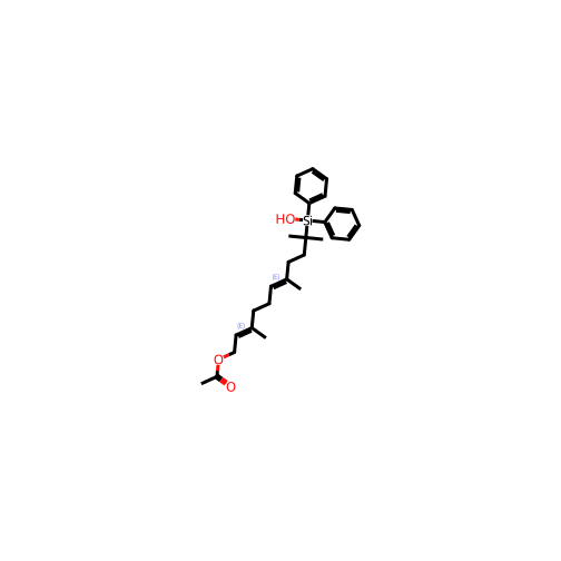 CC(=O)OC/C=C(\C)CC/C=C(\C)CCC(C)(C)[Si](O)(c1ccccc1)c1ccccc1